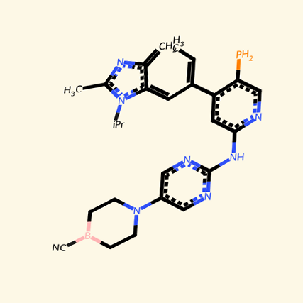 C=c1nc(C)n(C(C)C)/c1=C/C(=C\C)c1cc(Nc2ncc(N3CCB(C#N)CC3)cn2)ncc1P